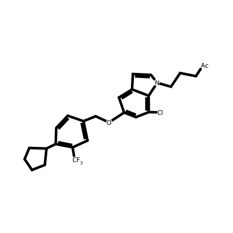 CC(=O)CCCn1ccc2cc(OCc3ccc(C4CCCC4)c(C(F)(F)F)c3)cc(Cl)c21